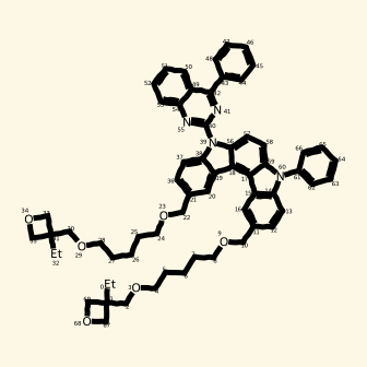 CCC1(COCCCCCOCc2ccc3c(c2)c2c4c5cc(COCCCCCOCC6(CC)COC6)ccc5n(-c5nc(-c6ccccc6)c6ccccc6n5)c4ccc2n3-c2ccccc2)COC1